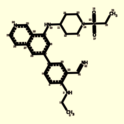 CCNc1ccc(-c2cc(NC3CCN(S(=O)(=O)CC)CC3)c3cnccc3c2)cc1C=N